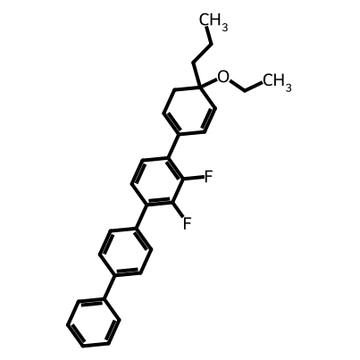 CCCC1(OCC)C=CC(c2ccc(-c3ccc(-c4ccccc4)cc3)c(F)c2F)=CC1